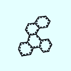 [c]1cccc2c1c1c3ccccc3ccc1c1ccccc21